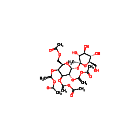 C=C(OC(C)=O)O[C@H]1[C@@H](OC(=C)OC(C)=O)[C@@H](COC(C)=O)O[C@H](O[C@]2(C)O[C@H](CO)[C@@H](O)[C@H](O)[C@H]2O)[C@@H]1OC(=C)OC(C)=O